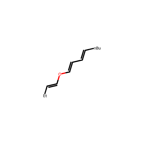 CCC=COC=CC=CCCCC